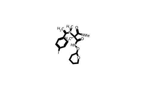 C=C(c1ccc(I)cc1)N(C)[C@@](C)(C(=O)NC)C(=O)NOC1CCCCO1